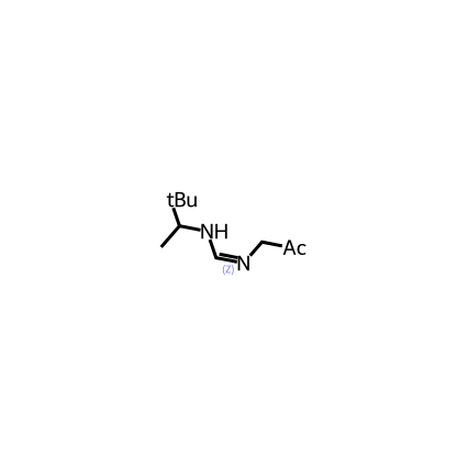 CC(=O)C/N=C\NC(C)C(C)(C)C